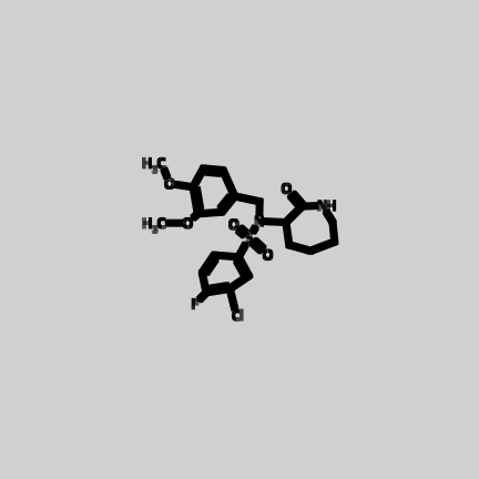 COc1ccc(CN(C2CCCCNC2=O)S(=O)(=O)c2ccc(F)c(Cl)c2)cc1OC